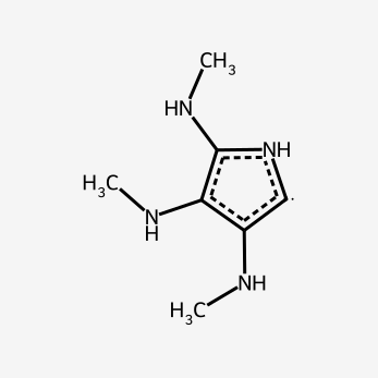 CNc1[c][nH]c(NC)c1NC